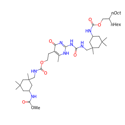 CCCCCCCCC(CCCCCC)COC(=O)NC1CC(C)(C)CC(C)(CNC(=O)Nc2nc(=O)c(CCOC(=O)NCC3(C)CC(NC(=O)OC)CC(C)(C)C3)c(C)[nH]2)C1